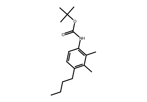 CCCCc1ccc(NC(=O)OC(C)(C)C)c(C)c1C